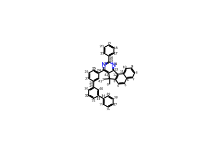 CC1(C)c2ccc3ccccc3c2-c2nc(-c3ccccc3)nc(-c3cccc(-c4cccc(-c5ccccc5)c4)c3)c21